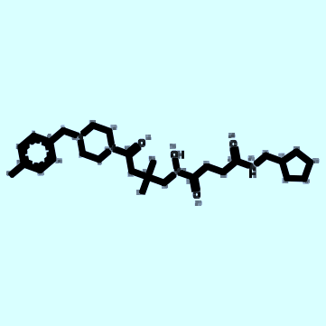 Cc1ccc(CN2CCN(C(=O)CC(C)(C)CN(O)C(=O)CCC(=O)NCC3CCCC3)CC2)cc1